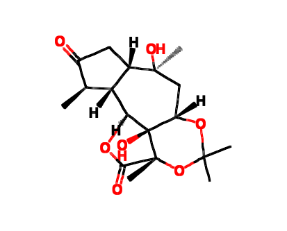 C[C@H]1C(=O)C[C@H]2[C@@H]1[C@@H]1OC(=O)[C@@]3(C)OC(C)(C)O[C@@H](C[C@]2(C)O)[C@@]13O